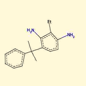 CCc1c(N)ccc(C(C)(C)c2ccccc2)c1N